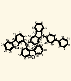 c1ccc(-c2ccc(-n3c4ccccc4c4cc(N(c5cccc6c5sc5ccccc56)c5cccc6oc7ccccc7c56)ccc43)cc2)cc1